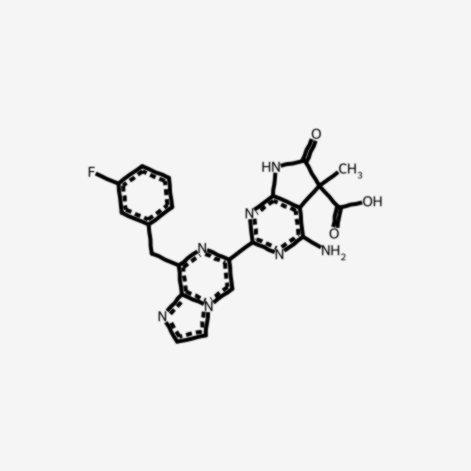 CC1(C(=O)O)C(=O)Nc2nc(-c3cn4ccnc4c(Cc4cccc(F)c4)n3)nc(N)c21